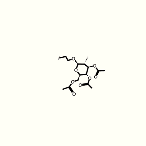 CC(=O)OC[C@H]1O[C@@H](OCCI)[C@H](C)[C@@H](OC(C)=O)[C@@H]1OC(C)=O